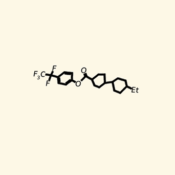 CCC1CCC(C2CCC(C(=O)Oc3ccc(C(F)(F)C(F)(F)F)cc3)CC2)CC1